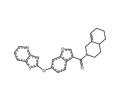 O=C(c1coc2cc(Oc3nc4ncccc4s3)ccc12)N1CCC2CCCC=C2C1